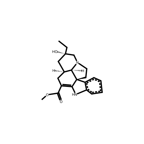 CC[C@]1(O)C[C@@H]2CC(C(=O)OC)=C3Nc4ccccc4[C@]34CCN(C1)[C@H]24